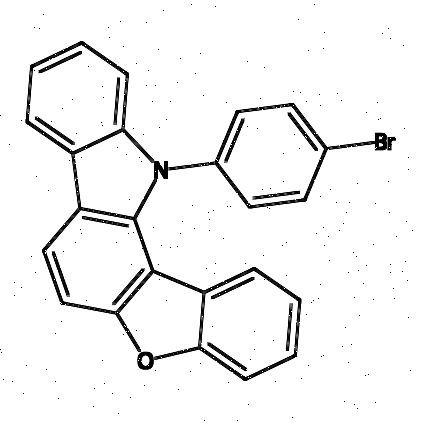 Brc1ccc(-n2c3ccccc3c3ccc4oc5ccccc5c4c32)cc1